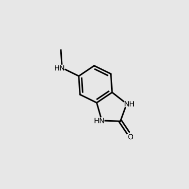 CNc1ccc2[nH]c(=O)[nH]c2c1